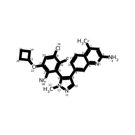 Cc1cc(N)nc2cc(-c3cnn(C)c3-c3c(F)c(Cl)cc(OC4CCC4)c3C#N)ccc12